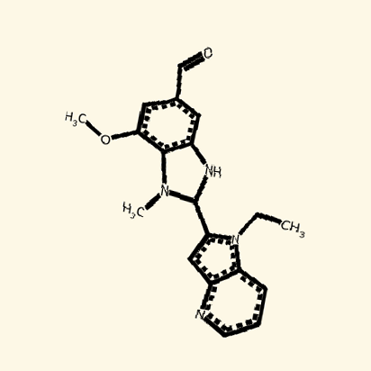 CCn1c(C2Nc3cc(C=O)cc(OC)c3N2C)cc2ncccc21